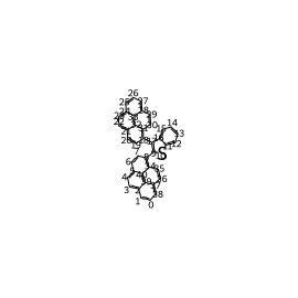 c1cc2ccc3ccc(-c4sc5ccccc5c4-c4ccc5ccc6cccc7ccc4c5c67)c4ccc(c1)c2c34